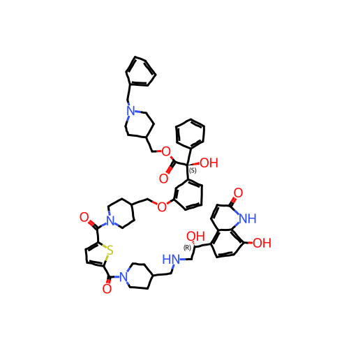 O=C(c1ccc(C(=O)N2CCC(COc3cccc([C@](O)(C(=O)OCC4CCN(Cc5ccccc5)CC4)c4ccccc4)c3)CC2)s1)N1CCC(CNC[C@H](O)c2ccc(O)c3[nH]c(=O)ccc23)CC1